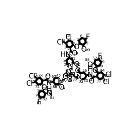 COc1cc(F)ccc1Oc1cc(Cl)c(Cl)cc1C(=O)Nc1ccn(COP(=O)(OCn2ccc(NC(=O)c3cc(Cl)c(Cl)cc3Oc3ccc(F)cc3OC)cc2=O)OCn2ccc(NC(=O)c3cc(Cl)c(Cl)cc3Oc3ccc(F)cc3OC)cc2=O)c(=O)c1